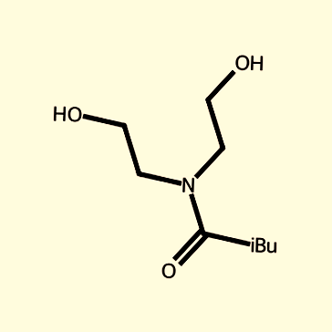 CCC(C)C(=O)N(CCO)CCO